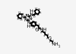 NCCOCCCCCNC(=O)Cc1ccc(Nc2nc(NCC3CCCCC3)nc(N3CCCCC3)n2)cc1